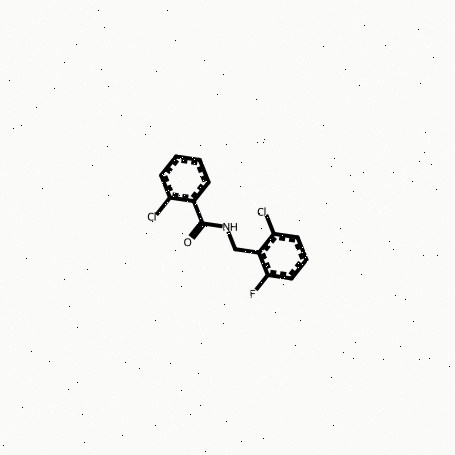 O=C(NCc1c(F)cccc1Cl)c1ccccc1Cl